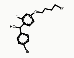 OC(c1ccc(Br)cc1)c1ccc(OCCCCBr)cc1F